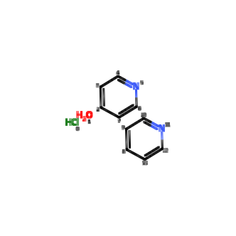 Cl.O.c1ccncc1.c1ccncc1